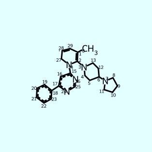 CC1=C(N2CCC(N3CCCC3)CC2)N(c2cc(-c3ccccc3)ncn2)C[C]=C1